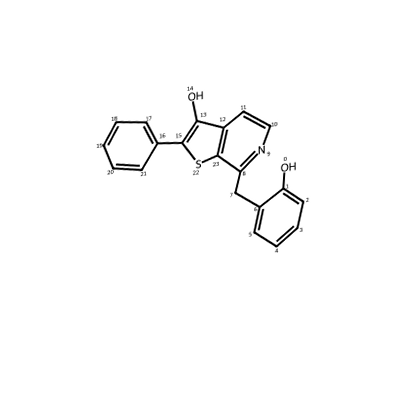 Oc1ccccc1Cc1nccc2c(O)c(-c3ccccc3)sc12